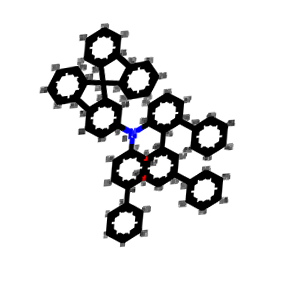 c1ccc(-c2ccc(N(c3ccc4c(c3)C3(c5ccccc5-c5ccccc53)c3ccccc3-4)c3cccc(-c4ccccc4)c3-c3cccc(-c4ccccc4)c3)cc2)cc1